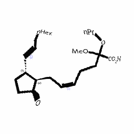 CCCCCC/C=C/[C@H]1CCC(=O)[C@@H]1C/C=C\CCC(OC)(OCCC)C(=O)O